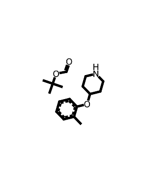 CC(C)(C)OC=O.Cc1ccccc1OC1CCNCC1